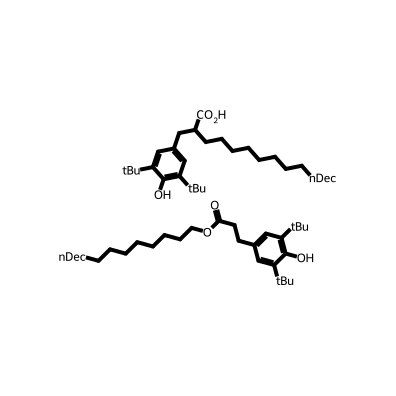 CCCCCCCCCCCCCCCCCCC(Cc1cc(C(C)(C)C)c(O)c(C(C)(C)C)c1)C(=O)O.CCCCCCCCCCCCCCCCCCOC(=O)CCc1cc(C(C)(C)C)c(O)c(C(C)(C)C)c1